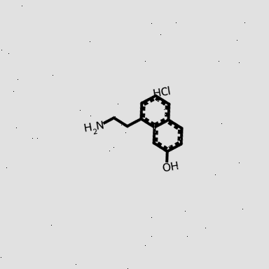 Cl.NCCc1cccc2ccc(O)cc12